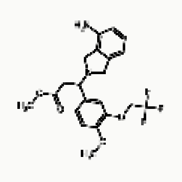 COC(=O)CC(c1ccc(OC)c(OCC(F)(F)F)c1)N1Cc2cccc(N)c2C1